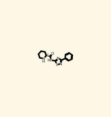 O=C(Nc1nc(-c2ccccc2)ns1)[C@@H]1CCCCN1